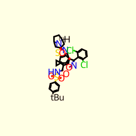 CC(C)(C)c1ccc(S(=O)(=O)NC(=O)c2ccc3nc(N4C5CC[C@H]4CC(OCc4c(-c6c(Cl)cccc6Cl)noc4C4CC4)C5)sc3c2)cc1